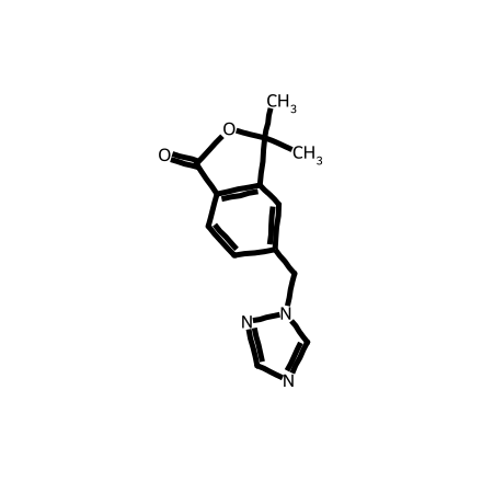 CC1(C)OC(=O)c2ccc(Cn3cncn3)cc21